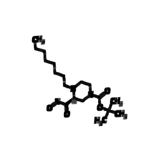 CCCCCCCCN1CCN(C(=O)OC(C)(C)C)C[C@H]1C(=O)N=O